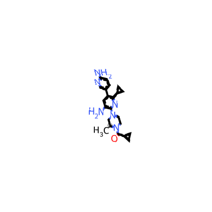 C[C@@H]1CN(c2nc(C3CC3)c(-c3ccc(N)nc3)cc2N)CCN1C(=O)C1CC1